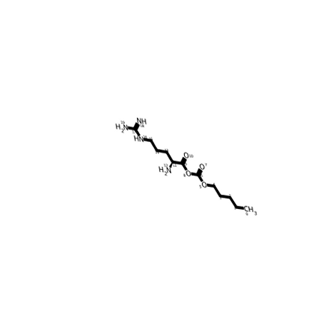 CCCCCOC(=O)OC(=O)[C@@H](N)CCCNC(=N)N